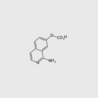 Nc1nccc2ccc(OC(=O)O)cc12